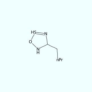 [CH2]CCCC1N=[SH]ON1